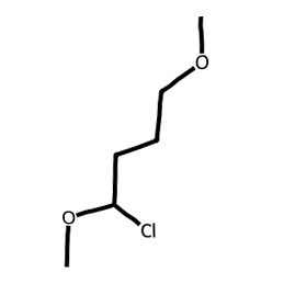 COCCCC(Cl)OC